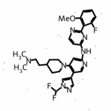 COc1cccc(F)c1-c1nccc(Nc2cc(N3CCC(CCN(C)C)CC3)c(-c3cnn(C(F)F)c3)cn2)n1